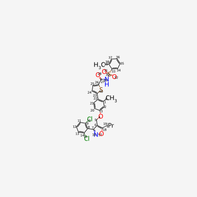 Cc1cc(OCc2c(-c3c(Cl)cccc3Cl)noc2C(C)C)ccc1-c1ccc(C(=O)NS(=O)(=O)c2ccccc2C)s1